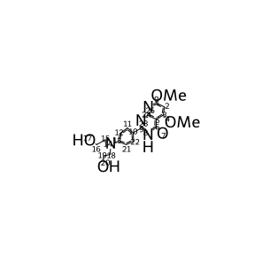 COc1cc(OC)c2c(=O)[nH]c(-c3ccc(N(CCO)CCO)cc3)nc2n1